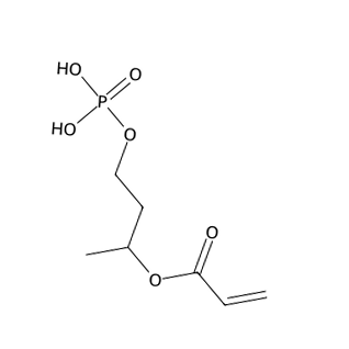 C=CC(=O)OC(C)CCOP(=O)(O)O